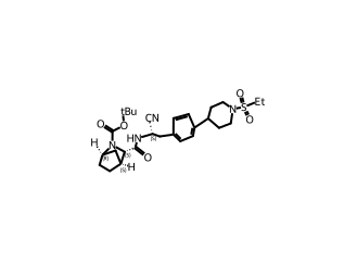 CCS(=O)(=O)N1CCC(c2ccc(C[C@@H](C#N)NC(=O)[C@@H]3[C@H]4CC[C@H](C4)N3C(=O)OC(C)(C)C)cc2)CC1